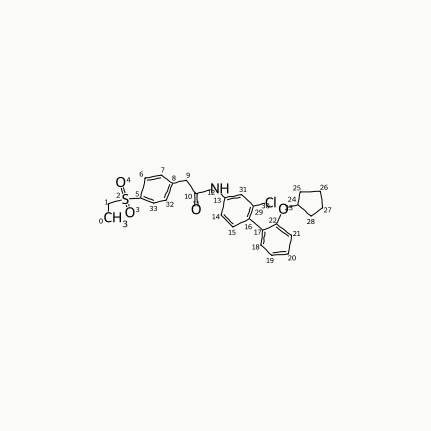 CCS(=O)(=O)c1ccc(CC(=O)Nc2ccc(-c3ccccc3OC3CCCC3)c(Cl)c2)cc1